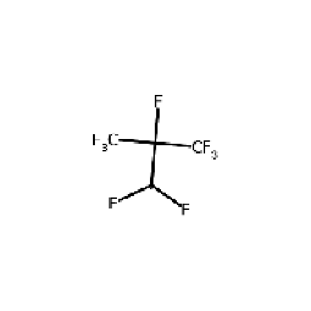 F[C](F)C(F)(C(F)(F)F)C(F)(F)F